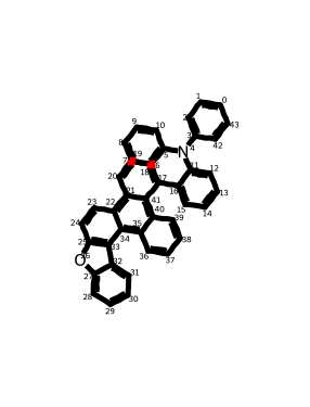 c1ccc(N(c2ccccc2)c2ccccc2-c2cccc3c4ccc5oc6ccccc6c5c4c4ccccc4c23)cc1